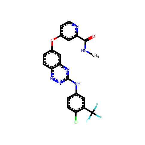 CNC(=O)c1cc(Oc2ccc3nnc(Nc4ccc(Cl)c(C(F)(F)F)c4)nc3c2)ccn1